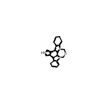 C1=CCc2c(n3c4c2c2c[nH]cc2c2c5c(n(c24)COC3)=CCC=C5)=C1